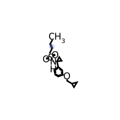 CC/C=C/CS(=O)(=O)NC1(c2cccc(OCC3CC3)c2)CC1